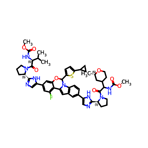 COC(=O)NC(C(=O)N1CCC[C@H]1c1ncc(-c2ccc3c(c2)cc2n3C(c3ccc(C4CC4)s3)Oc3cc(-c4cnc([C@@H]5CCCN5C(=O)[C@@H](NC(=O)OC)C(C)C)[nH]4)cc(F)c3-2)[nH]1)C1CCO[C@@H](C)C1